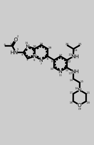 CC(=O)Nc1cn2nc(-c3cnc(NCCN4CCOCC4)c(NC(C)C)c3)ccc2n1